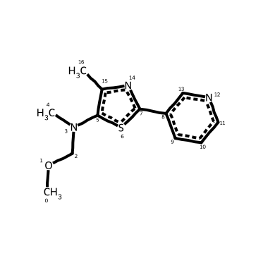 COCN(C)c1sc(-c2cccnc2)nc1C